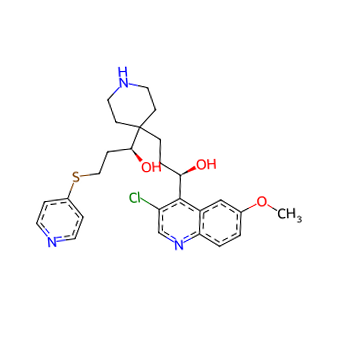 COc1ccc2ncc(Cl)c([C@H](O)CCC3([C@@H](O)CCSc4ccncc4)CCNCC3)c2c1